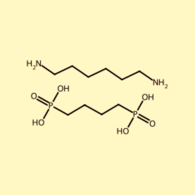 NCCCCCCN.O=P(O)(O)CCCCP(=O)(O)O